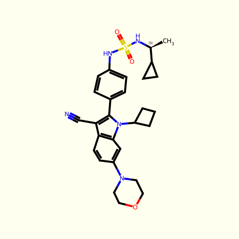 C[C@H](NS(=O)(=O)Nc1ccc(-c2c(C#N)c3ccc(N4CCOCC4)cc3n2C2CCC2)cc1)C1CC1